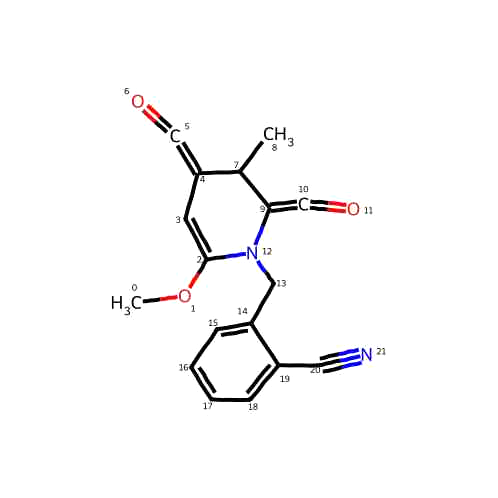 COC1=CC(=C=O)C(C)C(=C=O)N1Cc1ccccc1C#N